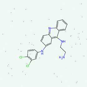 NCCNc1c2ccccc2nc2ccc(Nc3ccc(Cl)c(Cl)c3)cc12